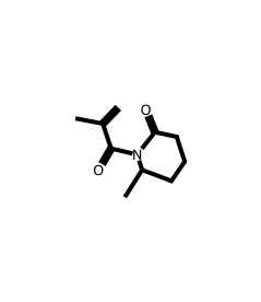 C=C(C)C(=O)N1C(=O)CCCC1C